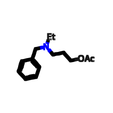 CCN(CCCOC(C)=O)Cc1ccccc1